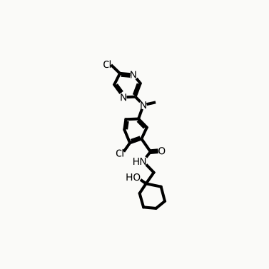 CN(c1ccc(Cl)c(C(=O)NCC2(O)CCCCC2)c1)c1cnc(Cl)cn1